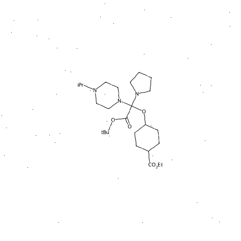 CCOC(=O)C1CCC(OC(C(=O)OC(C)(C)C)(N2CCCC2)N2CCN(C(C)C)CC2)CC1